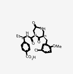 CC[C@@H](NC(=O)N1CC(=O)NC[C@@H](Cc2cc(Cl)ccc2OC)C1=O)c1ccc(C(=O)O)cc1